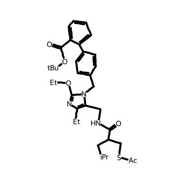 CCOc1nc(CC)c(CNC(=O)C(CSC(C)=O)CC(C)C)n1Cc1ccc(-c2ccccc2C(=O)OC(C)(C)C)cc1